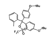 Cc1ccccc1S(OS(=O)(=O)C(F)(F)F)(c1ccc(OC(C)(C)C)cc1)c1ccc(OC(C)(C)C)cc1